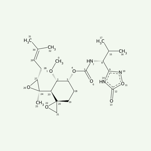 CO[C@@H]1[C@H](OC(=O)N[C@@H](c2noc(=O)[nH]2)C(C)C)CC[C@]2(CO2)[C@H]1[C@@]1(C)O[C@@H]1CC=C(C)C